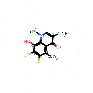 CCCn1cc(C(=O)OCC)c(=O)c2c([N+](=O)[O-])c(F)c(F)c(O)c21